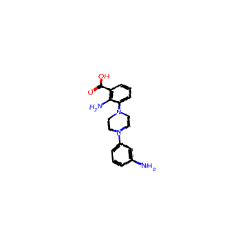 Nc1cccc(N2CCN(c3cccc(C(=O)O)c3N)CC2)c1